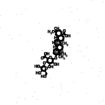 CC1(C)CC[C@]2(C(=O)O)CC[C@]3(C)C(=CC[C@@H]4[C@@]5(C)CC[C@H](O[C@@H]6O[C@H](C(=O)O)[C@@H](O[C@@H]7O[C@@H](CO)[C@H](O)[C@H]7O)[C@H](O)[C@H]6O)C(C)(C)[C@@H]5CC[C@]43C)[C@@H]2C1